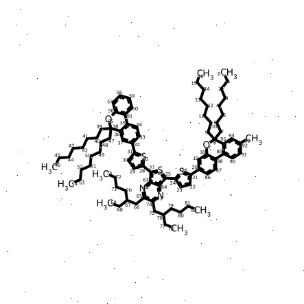 CCCCCCCCC1(CCCCCCCC)Oc2cc(-c3ccc(-c4sc(-c5ccc(-c6ccc7c(c6)C(CCCCCCCC)(CCCCCCCC)Oc6ccccc6-7)s5)c5nc(CC(CC)CCCC)c(CC(CC)CCCC)nc45)s3)ccc2-c2ccc(C)cc21